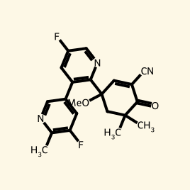 COC1(c2ncc(F)cc2-c2cnc(C)c(F)c2)C=C(C#N)C(=O)C(C)(C)C1